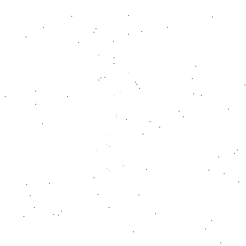 CCOC(=O)ON1CCN(C(=O)CNC(=O)c2cc(C3CC3)nc(-c3ccccc3)n2)CC1